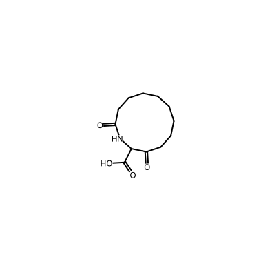 O=C1CCCCCCCCC(=O)C(C(=O)O)N1